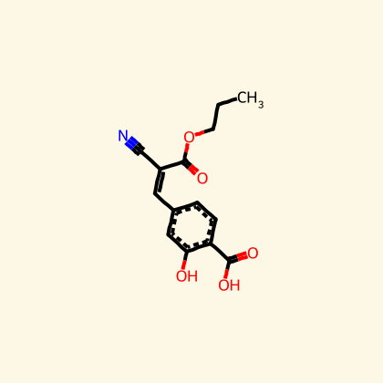 CCCOC(=O)C(C#N)=Cc1ccc(C(=O)O)c(O)c1